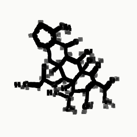 C=CC(=O)O[C@@H]1[C@H]2[C@H](N(C)C)C(O)=C(C(N)=O)C(=O)[C@@]2(O)C(O)=C2C(=O)c3c(O)cccc3C[C@H]21